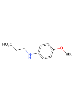 CCCCOc1ccc(NCCC(=O)O)cc1